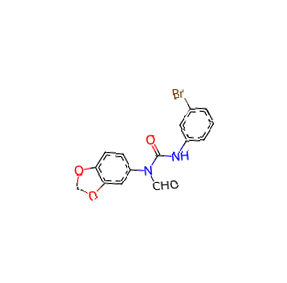 O=CN(C(=O)Nc1cccc(Br)c1)c1ccc2c(c1)OCO2